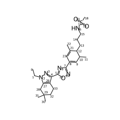 CCn1nc(-c2nc(C3=CC(C)C(CCCNS(C)(=O)=O)C(C)=C3)no2)c2c1CC(C)(C)CC2